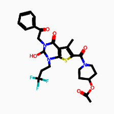 CC(=O)OC1CCN(C(=O)c2sc3c(c2C)C(=O)N(CC(=O)c2ccccc2)C(O)N3CCC(F)(F)F)CC1